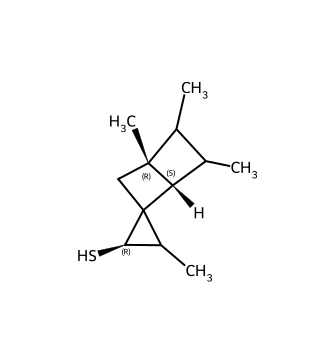 CC1C(C)[C@@]2(C)CC3(C(C)[C@H]3S)[C@@H]12